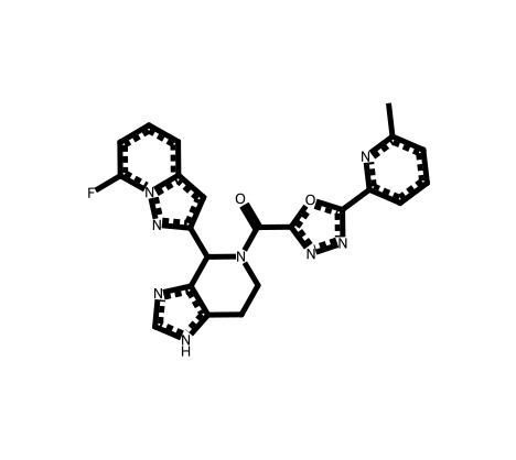 Cc1cccc(-c2nnc(C(=O)N3CCc4[nH]cnc4C3c3cc4cccc(F)n4n3)o2)n1